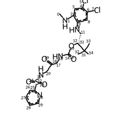 CNc1cc(Cl)c(Cl)cc1NC[C@@H](OC(=O)NCC(=O)CNS(=O)(=O)c1ccccn1)C(C)(C)C